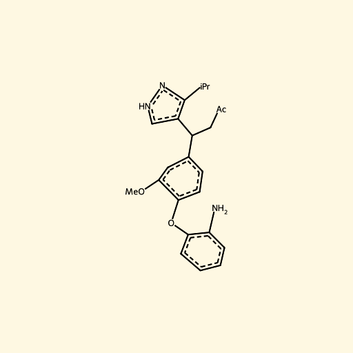 COc1cc(C(CC(C)=O)c2c[nH]nc2C(C)C)ccc1Oc1ccccc1N